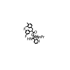 CCCNc1ncccc1C(=N)NOC(=O)C(Cc1ccc(C)c(C)c1)c1cc(F)cc(F)c1